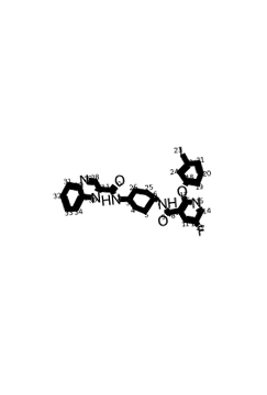 O=C(NC1CCC(NC(=O)c2cc(F)cnc2Oc2cccc(I)c2)CC1)c1cnc2ccccc2n1